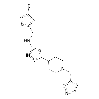 Clc1ccc(CNc2cc(C3CCN(Cc4ncno4)CC3)n[nH]2)s1